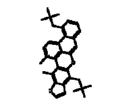 Cc1c2c(c(CC(C)(C)C)c3ccoc13)Oc1cc3cccc(CC(C)(C)C)c3c3cc[n+](C)c-2c13